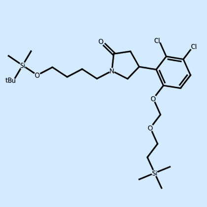 CC(C)(C)[Si](C)(C)OCCCCN1CC(c2c(OCOCC[Si](C)(C)C)ccc(Cl)c2Cl)CC1=O